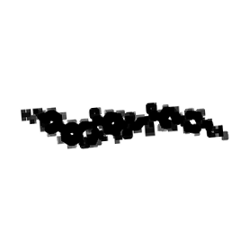 CCN1CCN(c2ncc(C(=O)NCCS(=O)(=O)c3ccc(C(=O)N4CCOc5ccc(-c6ccc(N)nc6)cc5C4)c(C)c3F)cn2)CC1